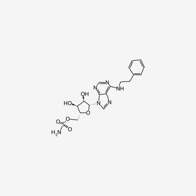 NS(=O)(=O)OC[C@H]1O[C@@H](n2cnc3c(NCCc4ccccc4)ncnc32)[C@H](O)[C@@H]1O